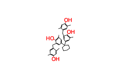 Cc1cc(Cc2cc(C3(c4cc(C)c(O)c(Cc5cc(C)c(O)cc5C)c4)CCCCC3)cc(C)c2O)c(C)cc1O